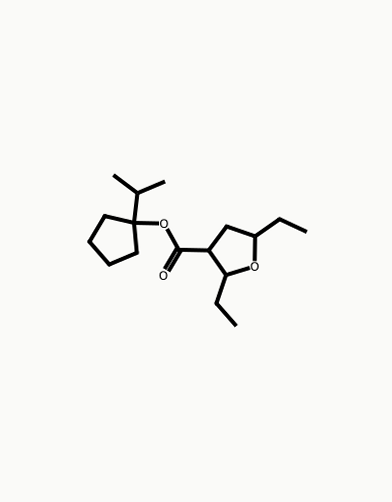 CCC1CC(C(=O)OC2(C(C)C)CCCC2)C(CC)O1